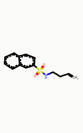 C=CCCNS(=O)(=O)c1ccc2ccccc2c1